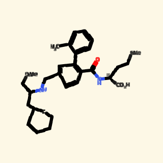 COCC(CC1CCCCC1)NCc1ccc(C(=O)N[C@@H](CCSC)C(=O)O)c(-c2ccccc2C)c1